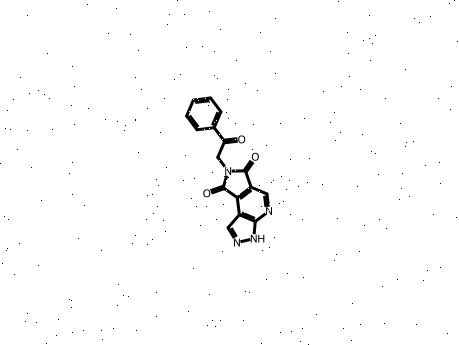 O=C(CN1C(=O)c2cnc3[nH]ncc3c2C1=O)c1ccccc1